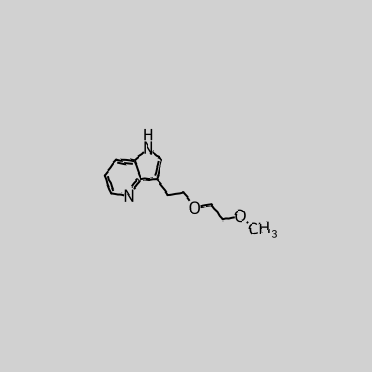 COCCOCCc1c[nH]c2cccnc12